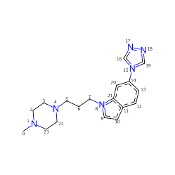 CN1CCN(CCCn2ccc3ccc(-n4cnnc4)cc32)CC1